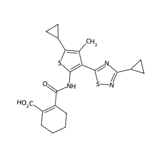 Cc1c(C2CC2)sc(NC(=O)C2=C(C(=O)O)CCCC2)c1-c1nc(C2CC2)ns1